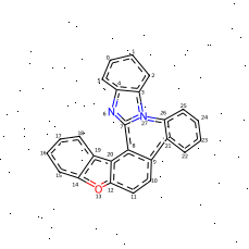 c1ccc2c(c1)nc1c3c(ccc4oc5ccccc5c43)c3ccccc3n21